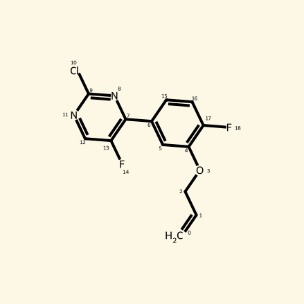 C=CCOc1cc(-c2nc(Cl)ncc2F)ccc1F